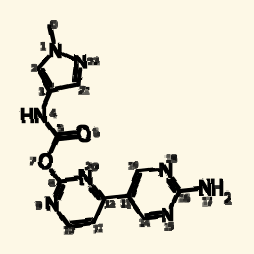 Cn1cc(NC(=O)Oc2nccc(-c3cnc(N)nc3)n2)cn1